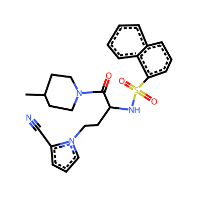 CC1CCN(C(=O)C(CCn2cccc2C#N)NS(=O)(=O)c2cccc3ccccc23)CC1